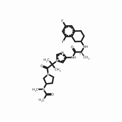 CC(=O)N(C)C1CCN(C(=O)C(C)(C)n2cnc(NC(=O)[C@H](C)NC3CCc4cc(F)cc(F)c4C3)c2)C1